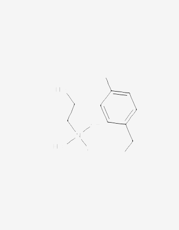 C[N+](C)(C)CCO.OCc1ccc(O)cc1.[Cl-]